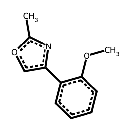 COc1ccccc1-c1coc(C)n1